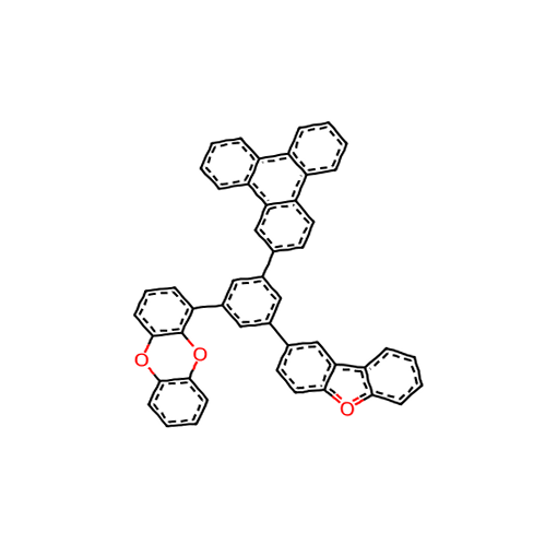 c1ccc2c(c1)Oc1cccc(-c3cc(-c4ccc5oc6ccccc6c5c4)cc(-c4ccc5c6ccccc6c6ccccc6c5c4)c3)c1O2